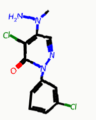 CN(N)c1cnn(-c2cccc(Cl)c2)c(=O)c1Cl